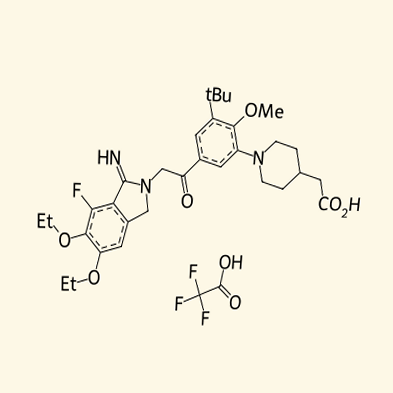 CCOc1cc2c(c(F)c1OCC)C(=N)N(CC(=O)c1cc(N3CCC(CC(=O)O)CC3)c(OC)c(C(C)(C)C)c1)C2.O=C(O)C(F)(F)F